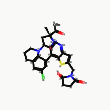 COC(=O)[C@@]1(C)C[C@H](N2CCCc3cc(Cl)cc(-c4ccnc5cc(CN6C(=O)CCC6=O)sc45)c32)CN1